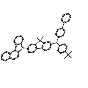 CC(C)(C)c1ccc(N(c2ccc(-c3ccccc3)cc2)c2ccc3c(c2)C(C)(C)c2cc(-n4c5ccccc5c5c6ccccc6ccc54)ccc2-3)cc1